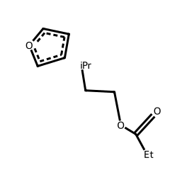 CCC(=O)OCCC(C)C.c1ccoc1